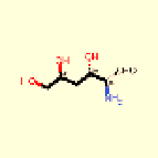 N[C@@H](C=O)[C@@H](O)C[C@H](O)CO